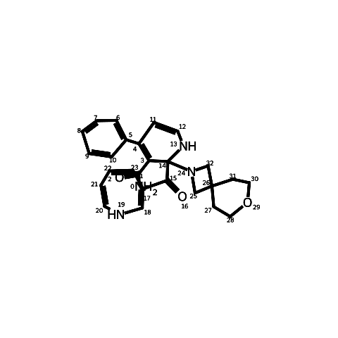 NC(=O)C1=C(c2ccccc2)C=CNC1(C(=O)C1=CNC=CC=C1)N1CC2(CCOCC2)C1